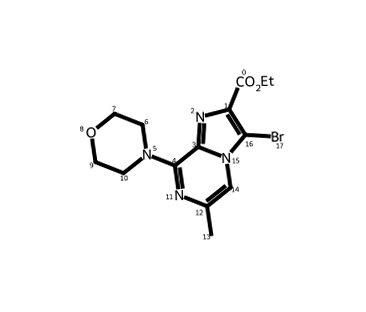 CCOC(=O)c1nc2c(N3CCOCC3)nc(C)cn2c1Br